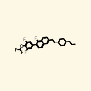 CCC[C@H]1CC[C@H](CCc2ccc3c(F)c(-c4cc(F)c(OC(F)F)c(F)c4)ccc3c2)CC1